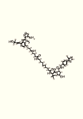 CCn1c(-c2nonc2N)nc2c(C#CC(C)(C)O)ncc(OCCCNCCCC(=O)NCCCCCCCCC(=O)NC(C(=O)N3C[C@H](O)C[C@H]3C(=O)NCc3ccc(-c4scnc4C)cc3)C(C)(C)C)c21